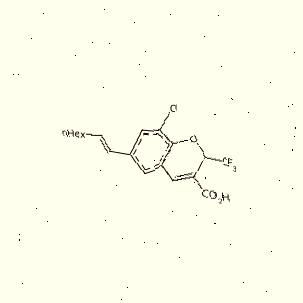 CCCCCC/C=C/c1cc(Cl)c2c(c1)C=C(C(=O)O)C(C(F)(F)F)O2